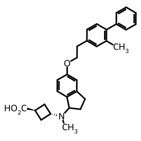 Cc1cc(CCOc2ccc3c(c2)CCC3N(C)[C@H]2C[C@H](C(=O)O)C2)ccc1-c1ccccc1